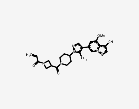 C=CC(=O)N1CC(C(=O)N2CCC(n3ncc(-c4cc(OC)c5c(C#N)cnn5c4)c3C)CC2)C1